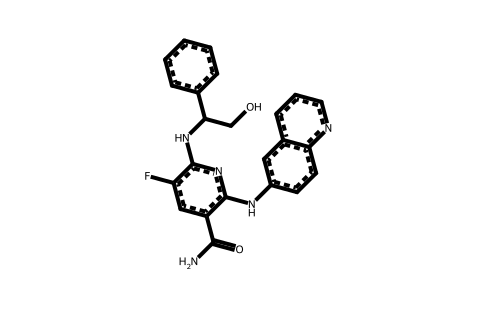 NC(=O)c1cc(F)c(NC(CO)c2ccccc2)nc1Nc1ccc2ncccc2c1